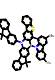 CC(C)(C)c1ccc2c(c1)c1cc(C(C)(C)C)cc3c1n2B1c2cc4c(cc2N(c2ccc5c(c2)-c2ccccc2C5(C)C)c2cc5c(sc6ccccc65)c-3c21)-c1ccccc1C4(C)C